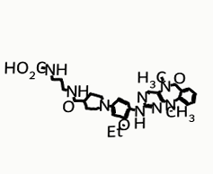 CCOc1cc(N2CCC(C(=O)NCCCNC(=O)O)CC2)ccc1Nc1ncc2c(n1)N(C)c1ccccc1C(=O)N2C